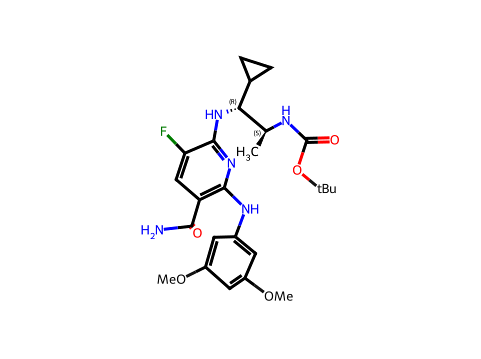 COc1cc(Nc2nc(N[C@H](C3CC3)[C@H](C)NC(=O)OC(C)(C)C)c(F)cc2C(N)=O)cc(OC)c1